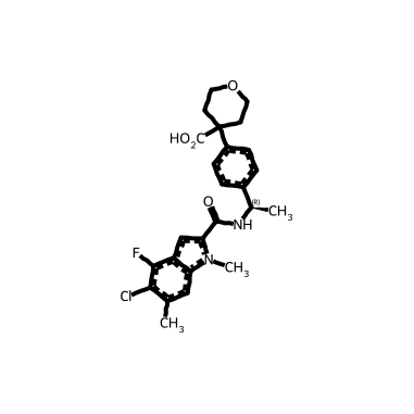 Cc1cc2c(cc(C(=O)N[C@H](C)c3ccc(C4(C(=O)O)CCOCC4)cc3)n2C)c(F)c1Cl